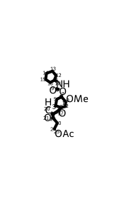 COC1CC2(CCC1OC(=O)NC1CCCCC1)OC2C1(C)OC1CCOC(C)=O